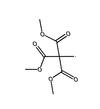 [CH2]C(C(=O)OC)(C(=O)OC)C(=O)OC